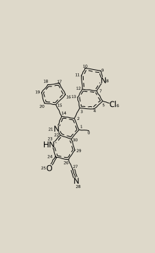 Cc1c(-c2cc(Cl)c3ncccc3c2)c(-c2ccccc2)nc2[nH]c(=O)c(C#N)cc12